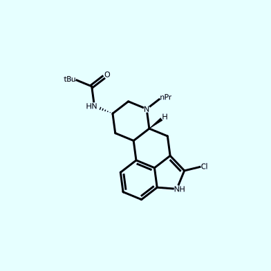 CCCN1C[C@@H](NC(=O)C(C)(C)C)CC2c3cccc4[nH]c(Cl)c(c34)C[C@H]21